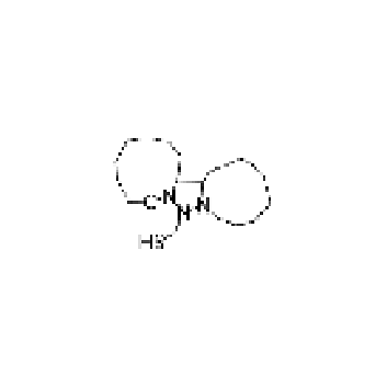 SCN1N2CCCCCCCCC2C2CCCCCCCCN21